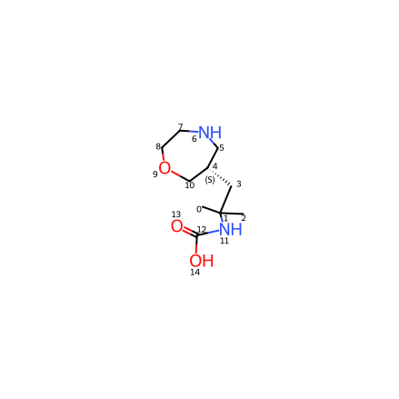 CC(C)(C[C@H]1CNCCOC1)NC(=O)O